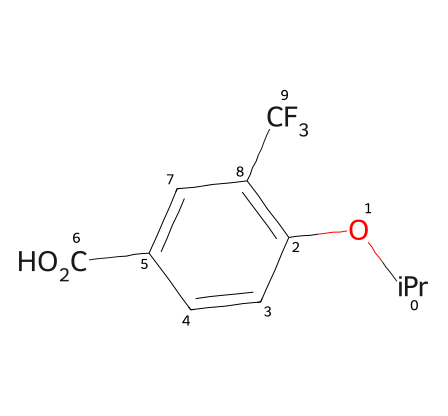 CC(C)Oc1ccc(C(=O)O)cc1C(F)(F)F